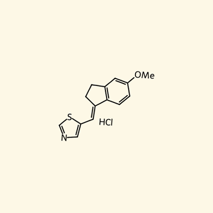 COc1ccc2c(c1)CCC2=Cc1cncs1.Cl